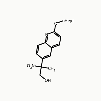 CCCCCCCOc1ccc2cc(C(C)(CO)[N+](=O)[O-])ccc2n1